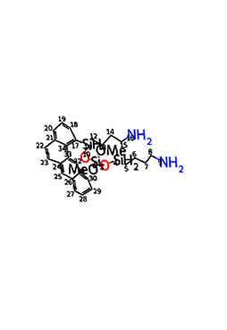 CO[Si](OC)(O[SiH2]CCCCN)O[SiH](CCCCN)c1cccc2ccc3cc4ccccc4cc3c12